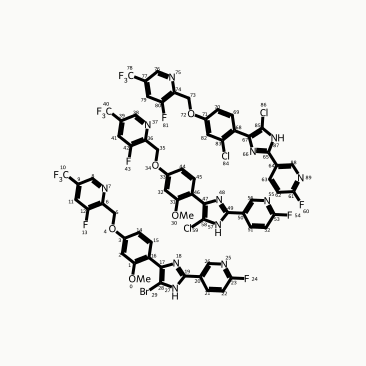 COc1cc(OCc2ncc(C(F)(F)F)cc2F)ccc1-c1nc(-c2ccc(F)nc2)[nH]c1Br.COc1cc(OCc2ncc(C(F)(F)F)cc2F)ccc1-c1nc(-c2ccc(F)nc2)[nH]c1Cl.Fc1ccc(-c2nc(-c3ccc(OCc4ncc(C(F)(F)F)cc4F)cc3Cl)c(Cl)[nH]2)cn1